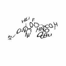 Cc1cn(COCC[Si](C)(C)C)c2nccc(Oc3ccc(C[C@H](NC(=O)OC(C)(C)C)C(=O)O)cc3F)c12.[LiH]